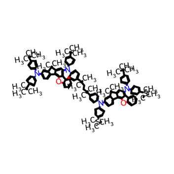 CC(C)(C)c1ccc(N(c2ccc(C(C)(C)C)cc2)c2ccc3c(c2)C(C)(C)c2cc(N(c4ccc(C(C)(C)C)cc4)c4ccc(C(C)(C)CCC(C)(C)c5ccc(N(c6ccc([Si](C)(C)C)cc6)c6ccc7c(c6)C(C)(C)c6cc(N(c8ccc(C(C)(C)C)cc8)c8ccc([Si](C)(C)C)cc8)c8c(oc9ccccc98)c6-7)cc5)cc4)c4c(oc5ccccc54)c2-3)cc1